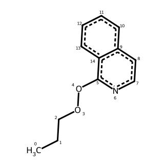 CCCOOc1nccc2ccccc12